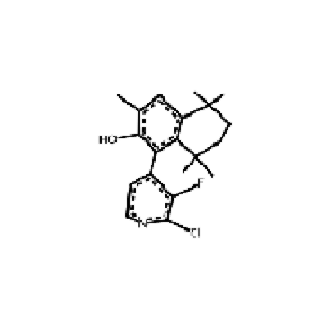 Cc1cc2c(c(-c3ccnc(Cl)c3F)c1O)C(C)(C)CCC2(C)C